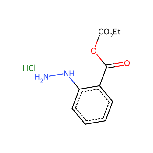 CCOC(=O)OC(=O)c1ccccc1NN.Cl